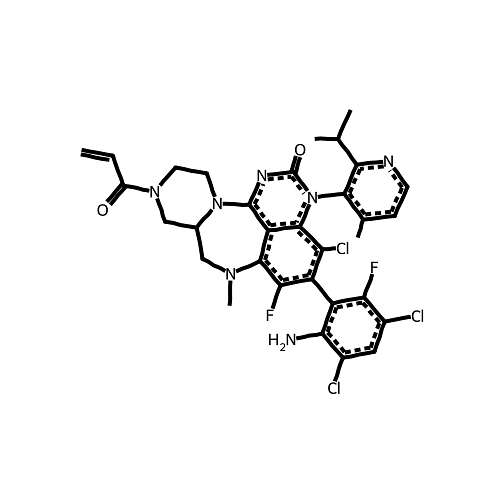 C=CC(=O)N1CCN2c3nc(=O)n(-c4c(C)ccnc4C(C)C)c4c(Cl)c(-c5c(N)c(Cl)cc(Cl)c5F)c(F)c(c34)N(C)CC2C1